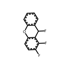 Fc1ccc2c(c1F)C(F)c1ccccc1O2